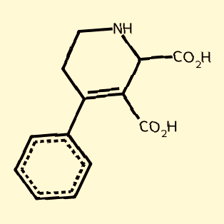 O=C(O)C1=C(c2ccccc2)CCNC1C(=O)O